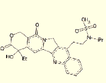 CCC1(O)C(=O)OCc2c1cc1n(c2=O)Cc2c-1nc1ccccc1c2CCN(C(C)C)S(C)(=O)=O